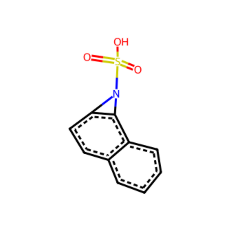 O=S(=O)(O)N1c2ccc3ccccc3c21